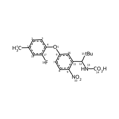 Cc1ccc(Oc2ccc([N+](=O)[O-])c(C(NC(=O)O)C(C)(C)C)c2)c(F)c1